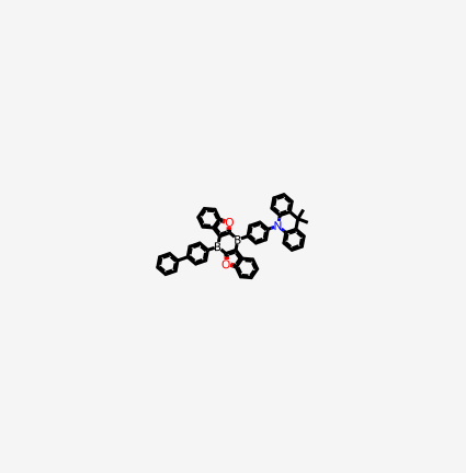 CC1(C)c2ccccc2N(c2ccc(B3c4oc5ccccc5c4B(c4ccc(-c5ccccc5)cc4)c4oc5ccccc5c43)cc2)c2ccccc21